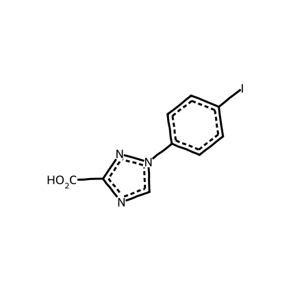 O=C(O)c1ncn(-c2ccc(I)cc2)n1